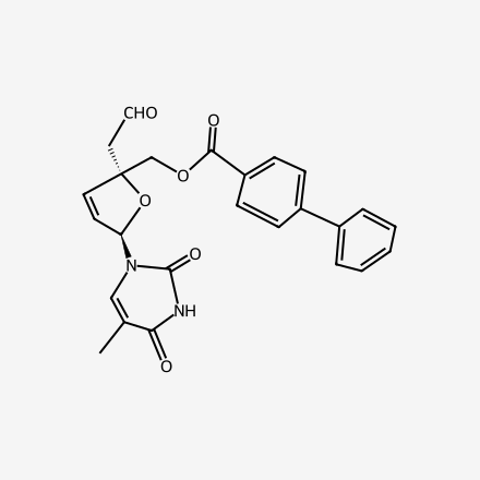 Cc1cn([C@H]2C=C[C@@](CC=O)(COC(=O)c3ccc(-c4ccccc4)cc3)O2)c(=O)[nH]c1=O